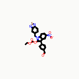 CCOC(=O)Oc1c(-c2ccc(C=O)cc2)c2cc([N+](=O)[O-])ccc2n1Cc1ccc2nsnc2c1